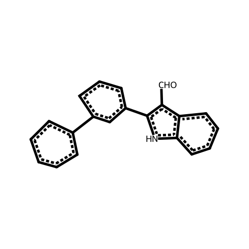 O=Cc1c(-c2cccc(-c3ccccc3)c2)[nH]c2ccccc12